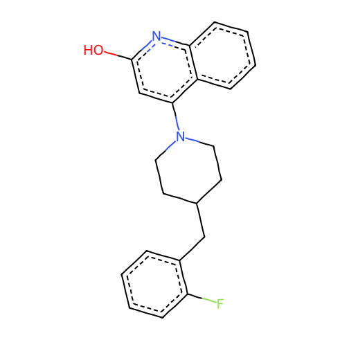 Oc1cc(N2CCC(Cc3ccccc3F)CC2)c2ccccc2n1